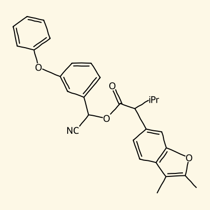 Cc1oc2cc(C(C(=O)OC(C#N)c3cccc(Oc4ccccc4)c3)C(C)C)ccc2c1C